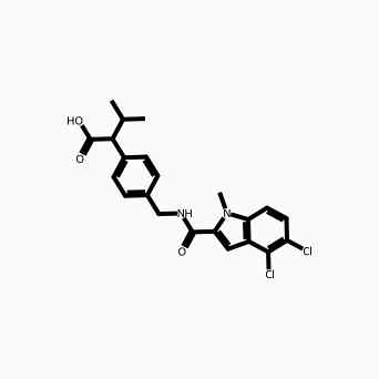 CC(C)C(C(=O)O)c1ccc(CNC(=O)c2cc3c(Cl)c(Cl)ccc3n2C)cc1